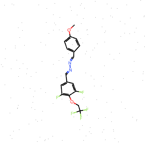 COc1ccc(C=NN=Cc2cc(F)c(OCC(F)(F)F)c(F)c2)cc1